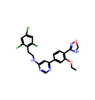 CCOc1cc(-c2cc(NCCc3c(F)cc(Br)cc3F)ncn2)ccc1C1=NOCN1